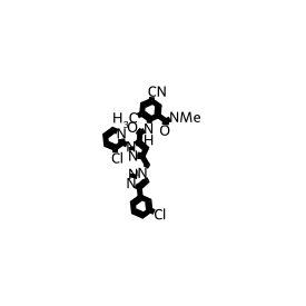 CNC(=O)c1cc(C#N)cc(C)c1NC(=O)c1cc(Cn2cc(-c3cccc(Cl)c3)nn2)nn1-c1ncccc1Cl